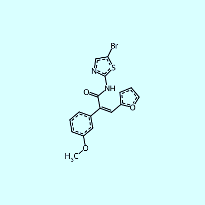 COc1cccc(C(=Cc2ccco2)C(=O)Nc2ncc(Br)s2)c1